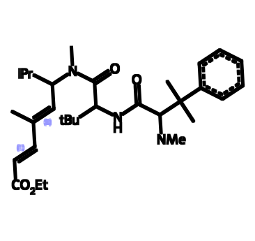 CCOC(=O)/C=C/C(C)=C/C(C(C)C)N(C)C(=O)C(NC(=O)C(NC)C(C)(C)c1ccccc1)C(C)(C)C